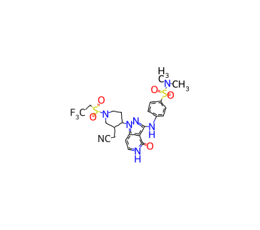 CN(C)S(=O)(=O)c1ccc(Nc2nn(C3CCN(S(=O)(=O)CC(F)(F)F)CC3CC#N)c3cc[nH]c(=O)c23)cc1